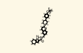 O=C(NCc1ccc2nc(N3CCC(c4ccc(OC(F)(F)F)cc4)CC3)ccc2c1)c1cc2c([nH]1)CCCC2